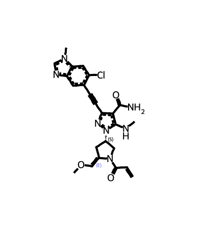 C=CC(=O)N1C[C@@H](n2nc(C#Cc3cc4ncn(C)c4cc3Cl)c(C(N)=O)c2NC)C/C1=C\OC